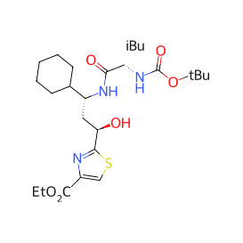 CCOC(=O)c1csc([C@H](O)C[C@@H](NC(=O)[C@@H](NC(=O)OC(C)(C)C)[C@H](C)CC)C2CCCCC2)n1